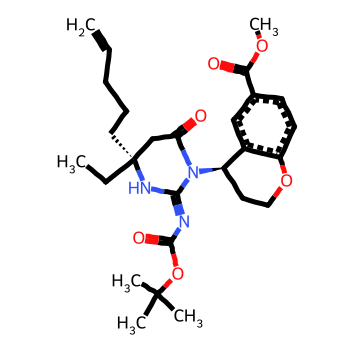 C=CCCC[C@]1(CC)CC(=O)N([C@@H]2CCOc3ccc(C(=O)OC)cc32)/C(=N/C(=O)OC(C)(C)C)N1